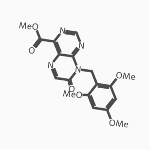 COC(=O)c1ncnc2c1ncc(=O)n2Cc1c(OC)cc(OC)cc1OC